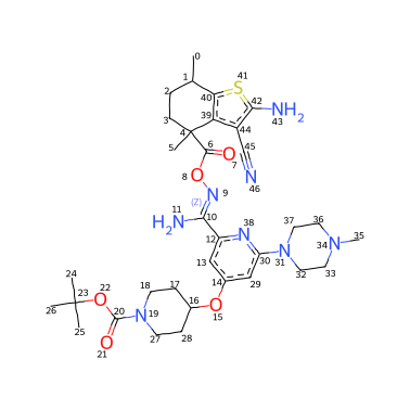 CC1CCC(C)(C(=O)O/N=C(\N)c2cc(OC3CCN(C(=O)OC(C)(C)C)CC3)cc(N3CCN(C)CC3)n2)c2c1sc(N)c2C#N